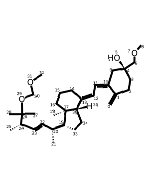 C=C1CC[C@@](O)(COC)C/C1=C/C=C1\CCC[C@]2(C)[C@@H]([C@H](C)/C=C/[C@H](C)C(C)(C)OCOC)CC[C@@H]12